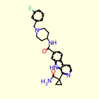 NC(=O)C1(c2nccc3c2[nH]c2cc(C(=O)NC4CCN(Cc5cccc(F)c5)CC4)ccc23)CC1